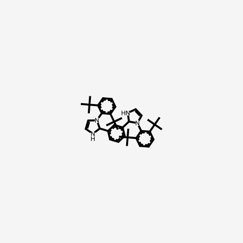 CC(C)(C)c1cccc(C(C)(C)C)c1N1C=CNC1c1cccc(C2NC=CN2c2c(C(C)(C)C)cccc2C(C)(C)C)c1